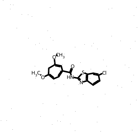 COC1=CC=C(C(=O)Nc2nc3ccc(Cl)cc3s2)C=C(OC)C1